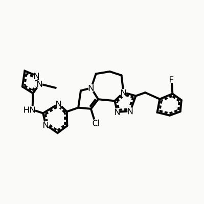 Cn1nccc1Nc1nccc(C2CN3CCCn4c(Cc5ccccc5F)nnc4C3=C2Cl)n1